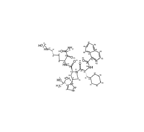 CC(C)(O)c1cnnn1[C@H]1C[C@@H](C(=O)NC(CCCCNC(=O)O)C(=O)C(N)=O)N(C(=O)[C@@H](CC2CCCCC2)NC(=O)c2nccc3ccccc23)C1